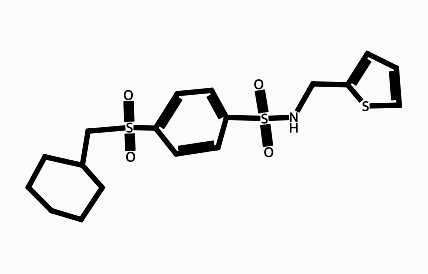 O=S(=O)(CC1CCCCC1)c1ccc(S(=O)(=O)NCc2cccs2)cc1